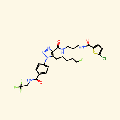 O=C(NCC(F)(F)F)c1ccc(-n2nnc(C(=O)NCCCNC(=O)c3ccc(Cl)s3)c2CCCCCF)cc1